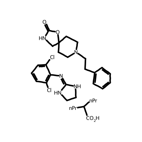 CCCC(CCC)C(=O)O.Clc1cccc(Cl)c1N=C1NCCN1.O=C1NCC2(CCN(CCc3ccccc3)CC2)O1